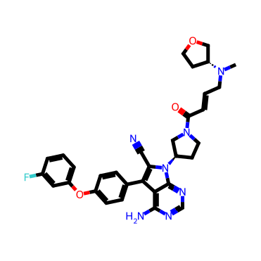 CN(C/C=C/C(=O)N1CC[C@@H](n2c(C#N)c(-c3ccc(Oc4cccc(F)c4)cc3)c3c(N)ncnc32)C1)[C@@H]1CCOC1